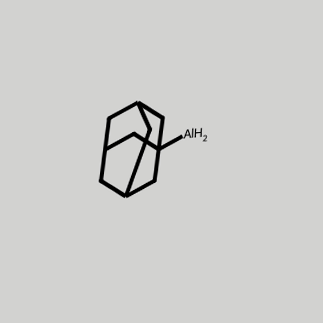 [AlH2][C]12CC3CC(CC(C3)C1)C2